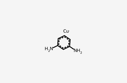 Nc1cccc(N)c1.[Cu]